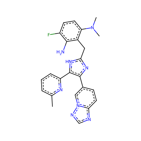 Cc1cccc(-c2[nH]c(Cc3c(N(C)C)ccc(F)c3N)nc2-c2ccc3ncnn3c2)n1